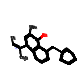 COc1cc(/C(=C\C#N)C(=O)O)c2cccc(Cc3ccccc3)c2c1O